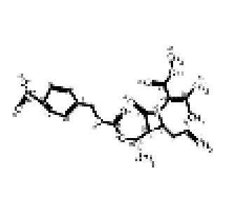 C=CCC1[C@@H]([C@H](C)OC(=O)OCc2ccc([N+](=O)[O-])cc2)C(=O)N1C(C(=O)OC)=C(C)C